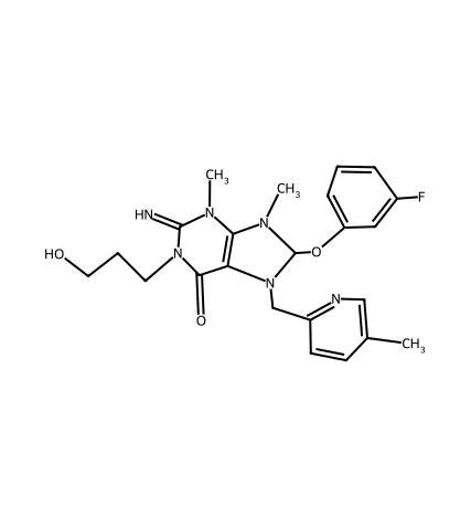 Cc1ccc(CN2c3c(n(C)c(=N)n(CCCO)c3=O)N(C)C2Oc2cccc(F)c2)nc1